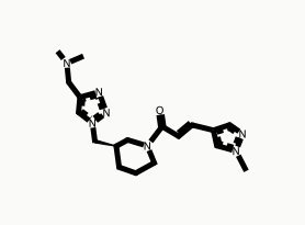 CN(C)Cc1cn(C[C@@H]2CCCN(C(=O)/C=C/c3cnn(C)c3)C2)nn1